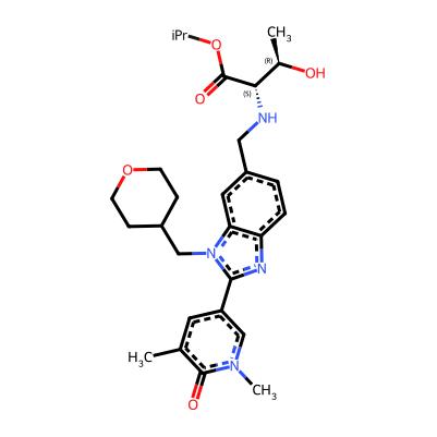 Cc1cc(-c2nc3ccc(CN[C@H](C(=O)OC(C)C)[C@@H](C)O)cc3n2CC2CCOCC2)cn(C)c1=O